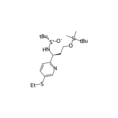 CCSc1ccc([C@H](CCO[Si](C)(C)C(C)(C)C)N[S@+]([O-])C(C)(C)C)nc1